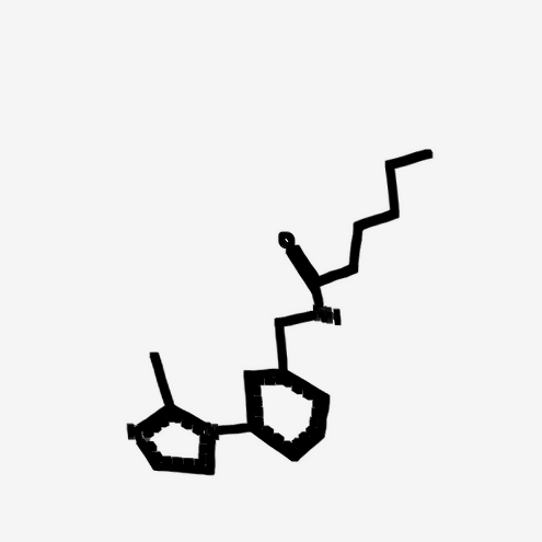 CCCCCC(=O)NCc1cccc(-n2ccnc2C)c1